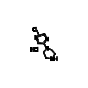 Cl.Clc1cnc(N2CCNCC2)cn1